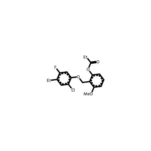 CCC(=O)Oc1cccc(OC)c1COc1cc(F)c(CC)cc1Cl